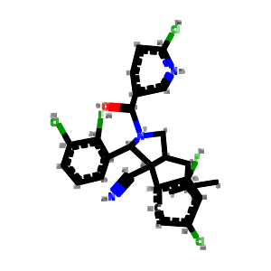 CC(C)(C)CC1CN(C(=O)c2ccc(Cl)nc2)C(c2cccc(Cl)c2F)C1(C#N)c1ccc(Cl)cc1F